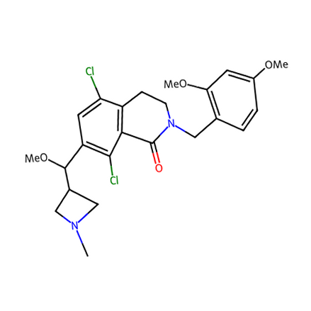 COc1ccc(CN2CCc3c(Cl)cc(C(OC)C4CN(C)C4)c(Cl)c3C2=O)c(OC)c1